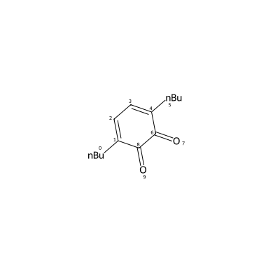 CCCCC1=CC=C(CCCC)C(=O)C1=O